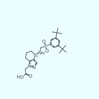 CC(C)(C)c1cc(C(C)(C)C)cc(S(=O)(=O)CN[C@@H]2CCCc3c2cnn3CC(=O)O)c1